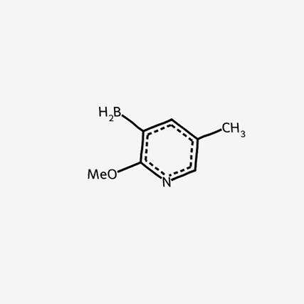 Bc1cc(C)cnc1OC